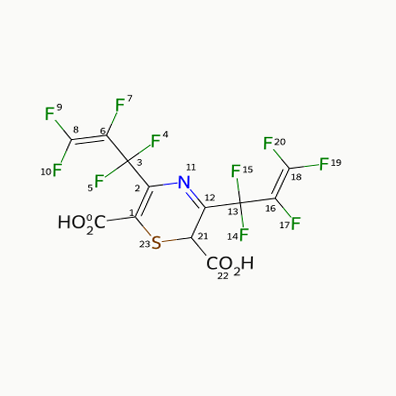 O=C(O)C1=C(C(F)(F)C(F)=C(F)F)N=C(C(F)(F)C(F)=C(F)F)C(C(=O)O)S1